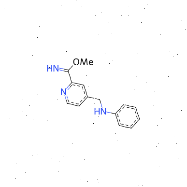 COC(=N)c1cc(CNc2ccccc2)ccn1